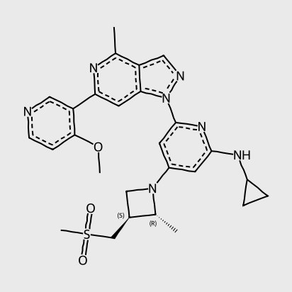 COc1ccncc1-c1cc2c(cnn2-c2cc(N3C[C@H](CS(C)(=O)=O)[C@H]3C)cc(NC3CC3)n2)c(C)n1